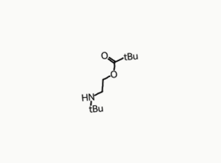 CC(C)(C)NCCOC(=O)C(C)(C)C